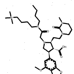 CCCCN(CCCC[N+](C)(C)C)C(=O)CN1C[C@H](c2cc(OC)c3c(c2)OCO3)[C@@H](C(=O)O)[C@@H]1CCN1CCCN(C)C1=O